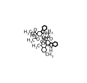 CC(=O)NC1(C(=O)O)Cc2c([nH]c3ccccc23)C(C2CC(C)CCC2C(C)C)C1.COC(=O)C1(NC(C)=O)CCc2[nH]c3ccccc3c2C1